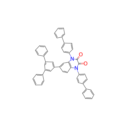 O=c1c(=O)n(-c2ccc(-c3ccccc3)cc2)c2cc(-c3cc(-c4ccccc4)cc(-c4ccccc4)c3)ccc2n1-c1ccc(-c2ccccc2)cc1